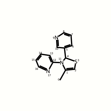 CC1=CSC(c2cccnc2)N1c1ccccn1